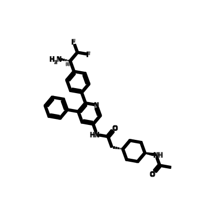 CC(=O)N[C@H]1CC[C@H](CC(=O)Nc2cnc(-c3ccc([C@H](N)C(F)F)cc3)c(-c3ccccc3)c2)CC1